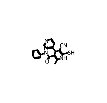 CC1=C(C(=O)Nc2ccccc2)C(c2ccncc2)C(C#N)=C(S)N1